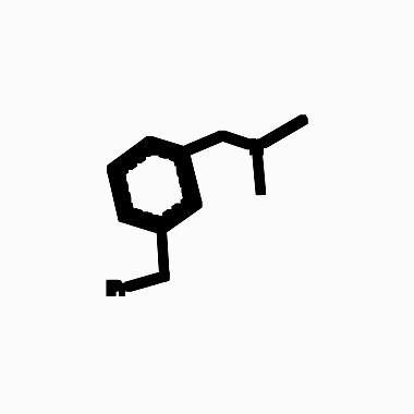 CC(C)Cc1cccc(CN(C)C)c1